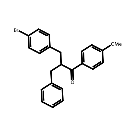 COc1ccc(C(=O)C(Cc2ccccc2)Cc2ccc(Br)cc2)cc1